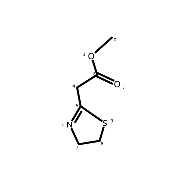 COC(=O)CC1=NCCS1